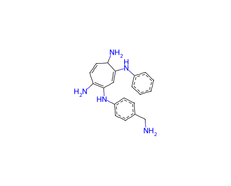 NCc1ccc(NC2=C(N)C=CC(N)C(Nc3ccccc3)=C2)cc1